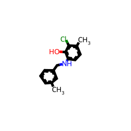 Cc1cccc(CNc2ccc(C)c(Cl)c2O)c1